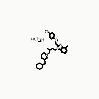 Cc1cccc2c1nc(COc1ccc(Cl)cc1)n2CCC(C)CN1CCCC(CC2CCCCC2)C1.Cl.Cl